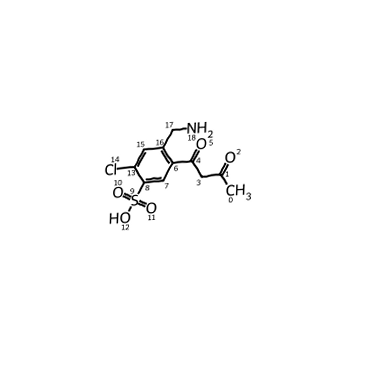 CC(=O)CC(=O)c1cc(S(=O)(=O)O)c(Cl)cc1CN